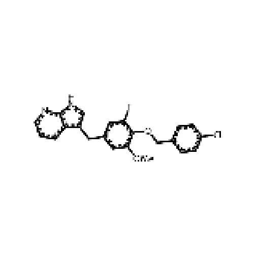 COc1cc(Cc2c[nH]c3ncccc23)cc(F)c1OCc1ccc(Cl)cc1